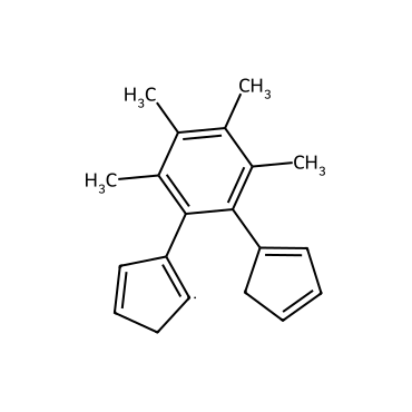 Cc1c(C)c(C)c(C2=CC=CC2)c(C2=[C]CC=C2)c1C